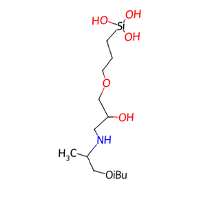 CC(C)COCC(C)NCC(O)COCCC[Si](O)(O)O